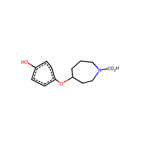 O=C(O)N1CCCC(Oc2ccc(O)cc2)CC1